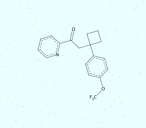 O=C(CC1(c2ccc(OC(F)(F)F)cc2)CCC1)c1ccccn1